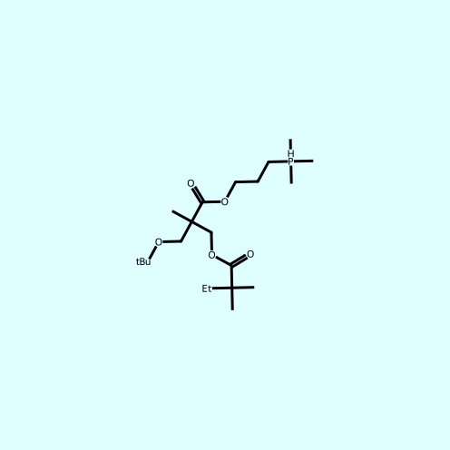 CCC(C)(C)C(=O)OCC(C)(COC(C)(C)C)C(=O)OCCC[PH](C)(C)C